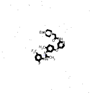 CCN1CCN(CC(=O)Nc2cc(Oc3ccc(C)c(/N=C(\C)Nc4cc(C(F)(F)F)ccc4F)c3)ccn2)CC1